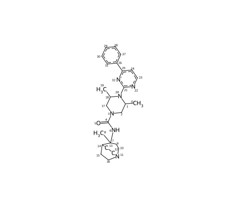 CC1CN(C(=O)NC2(C)CCN3CCC2CC3)CC(C)N1c1nccc(-c2ccccc2)n1